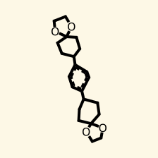 c1cc(C2CCC3(CC2)OCCO3)ccc1C1CCC2(CC1)OCCO2